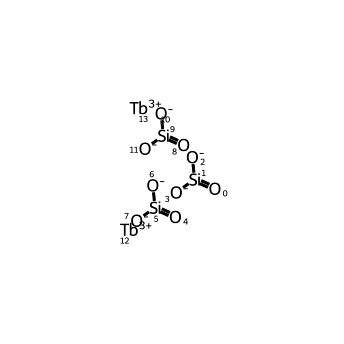 O=[Si]([O-])[O-].O=[Si]([O-])[O-].O=[Si]([O-])[O-].[Tb+3].[Tb+3]